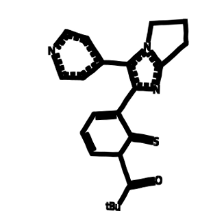 CC(C)(C)C(=O)C1C=CC=C(c2nc3n(c2-c2ccncc2)CCC3)C1=S